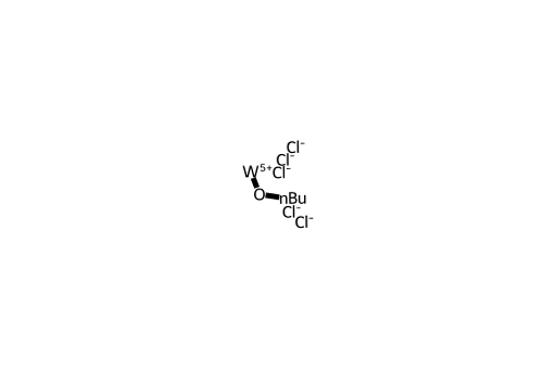 CCCC[O][W+5].[Cl-].[Cl-].[Cl-].[Cl-].[Cl-]